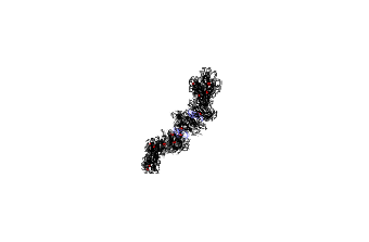 CC1(C)c2cc(/C=C/c3ccc(-c4ccc5c(c4)c4ccccc4n5-c4cccc5ccccc45)c4ccccc34)ccc2-c2ccc(/C=C/c3ccc(-c4ccc5c(c4)c4ccccc4n5-c4cccc5ccccc45)c4ccccc34)cc21